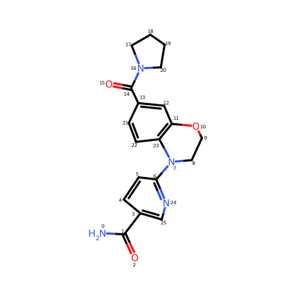 NC(=O)c1ccc(N2CCOc3cc(C(=O)N4CCCC4)ccc32)nc1